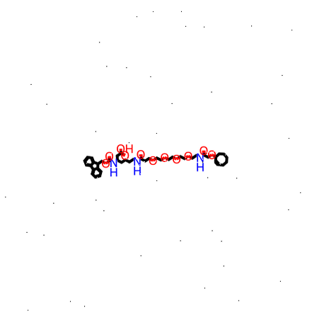 O=C(O)CC(CCCCNC(=O)CCOCCOCCOCCOCCNC(=O)COC1C#CCCCCC1)NC(=O)OCC1c2ccccc2-c2ccccc21